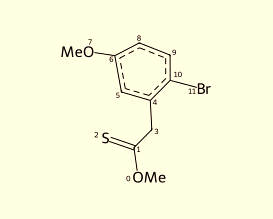 COC(=S)Cc1cc(OC)ccc1Br